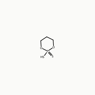 S=P1(S)OCCCO1